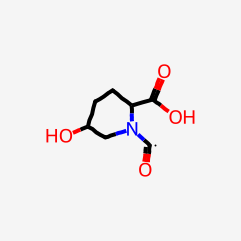 O=[C]N1CC(O)CCC1C(=O)O